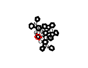 N#Cc1c(N2c3ccccc3Oc3c2ccc2c3c3c(n2-c2ccccc2)C=CCC3)c(N2c3ccccc3Oc3c2ccc2c3c3ccccc3n2C2C=CC=CC2)c(C#N)c2c1C1(OC23c2ccccc2-c2ccccc23)c2ccccc2-c2ccccc21